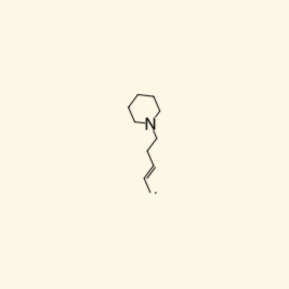 [CH2]/C=C/CCN1CCCCC1